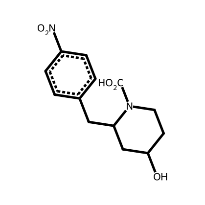 O=C(O)N1CCC(O)CC1Cc1ccc([N+](=O)[O-])cc1